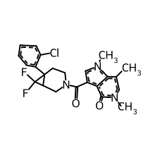 Cc1cn(C)c(=O)c2c(C(=O)N3CCC4(c5ccccc5Cl)C(C3)C4(F)F)cn(C)c12